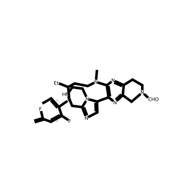 C=C(F)/C=C(F)\C(=C/C)OC(CC)CCN(C)c1nc2c(nc1-c1cnc3n1CCNC3)CN(C=O)CC2